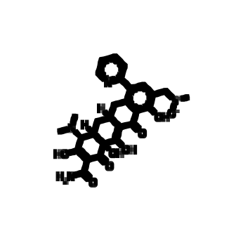 CN(C)[C@@H]1C(O)=C(C(N)=O)C(=O)[C@@]2(O)C(O)=C3C(=O)c4c(O)c(C[S+](C)[O-])cc(-c5ccccn5)c4C[C@H]3C[C@@H]12